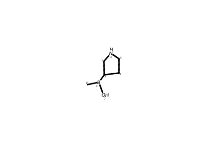 CB(O)C1CCNC1